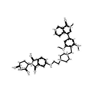 COc1cc(-c2cn(C)c(=O)c3cnccc23)cc(OC)c1CN1CCN(CCOc2ccc3c(c2)C(=O)N(C2CCC(=O)NC2=O)C3=O)CC1